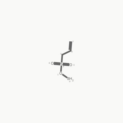 BOS(=O)(=O)CC=C